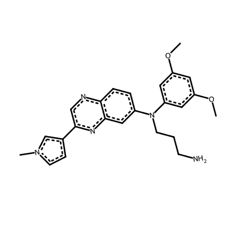 COc1cc(OC)cc(N(CCCN)c2ccc3ncc(-c4ccn(C)c4)nc3c2)c1